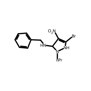 CCCN1NC(Br)=C([N+](=O)[O-])C1NCc1ccccc1